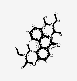 CCN(CC)C(C)Oc1ccc2c(=O)n(C(C)N(CC)CC)c3ccccc3c2c1